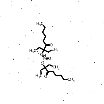 CCCCCC(=O)C(CC)(CC)O[PH](=O)OC(CC)(CC)C(=O)CCCCC